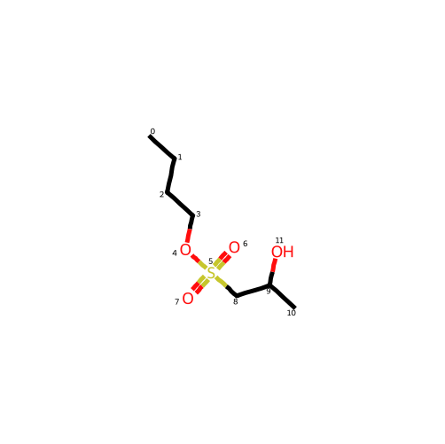 CCCCOS(=O)(=O)CC(C)O